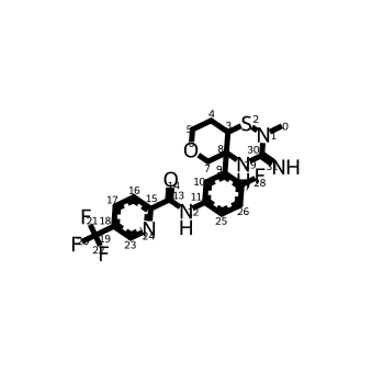 CN1SC2CCOCC2(c2cc(NC(=O)c3ccc(C(F)(F)F)cn3)ccc2F)NC1=N